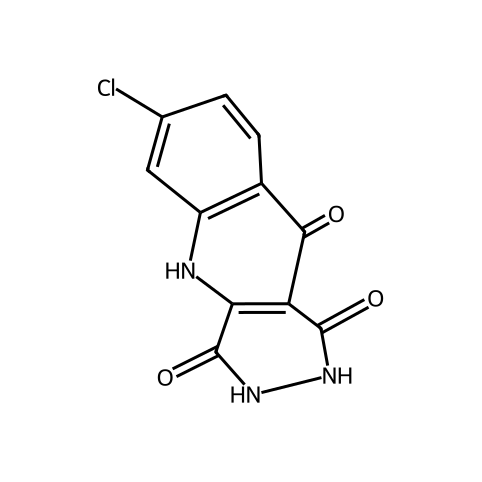 O=c1[nH][nH]c(=O)c2c(=O)c3ccc(Cl)cc3[nH]c12